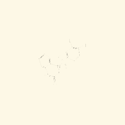 O=C1[C]N(S(=O)(=O)c2ccc(Cl)c(Cl)c2)c2ccccc2N1